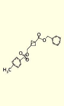 Cc1ccc(S(=O)(=O)OCC23CC(C(=O)OCc4ccccc4)(C2)C3)cc1